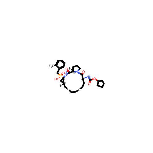 O=C(N[C@H]1CCCCCCC[C@@H]2C[C@@]2(P(=O)(O)Cc2ccccc2C(F)(F)F)NC(=O)[C@@H]2CCCN2C1=O)OC1CCCC1